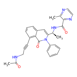 CC(=O)NCC#Cc1cccc2cc([C@H](C)NC(=O)c3nccnc3C)n(-c3ccccc3)c(=O)c12